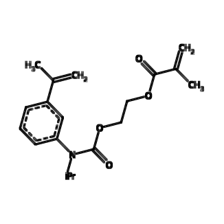 C=C(C)C(=O)OCCOC(=O)N(c1cccc(C(=C)C)c1)C(C)C